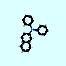 c1ccc(N(c2ccccc2)c2ccc3ccccc3c2)cc1